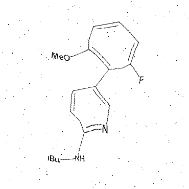 CCC(C)Nc1ccc(-c2c(F)cccc2OC)cn1